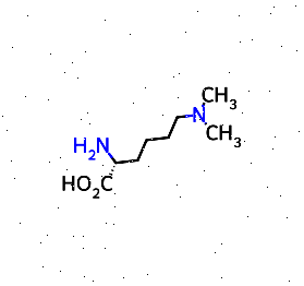 CN(C)CCCC[C@@H](N)C(=O)O